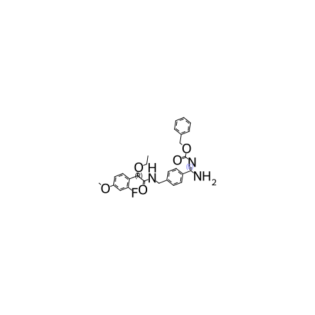 CCO[C@@H](C(=O)NCc1ccc(/C(N)=N\C(=O)OCc2ccccc2)cc1)c1ccc(OC)cc1F